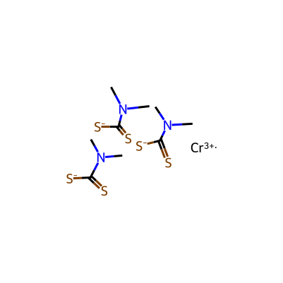 CN(C)C(=S)[S-].CN(C)C(=S)[S-].CN(C)C(=S)[S-].[Cr+3]